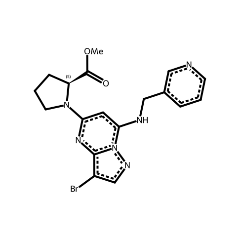 COC(=O)[C@@H]1CCCN1c1cc(NCc2cccnc2)n2ncc(Br)c2n1